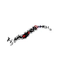 CCCC/C=C/COc1ccc(-c2ccc(C34CCC(CCCCCCC)(CC3)CC4)cc2)cc1